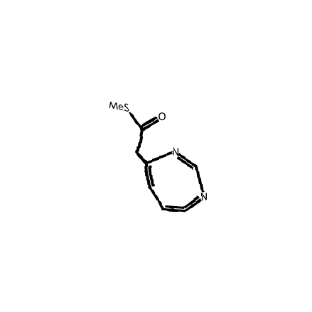 CSC(=O)CC1=CC=C=NC=N1